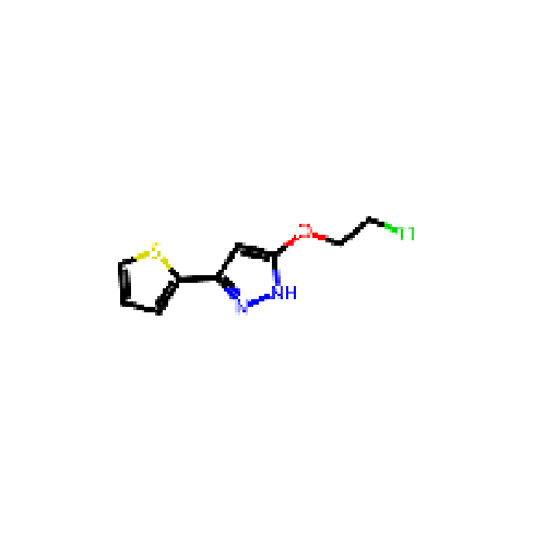 ClCCOc1cc(-c2cccs2)n[nH]1